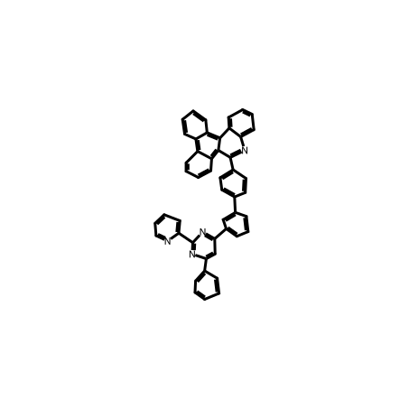 c1ccc(-c2cc(-c3cccc(-c4ccc(-c5nc6ccccc6c6c7ccccc7c7ccccc7c56)cc4)c3)nc(-c3ccccn3)n2)cc1